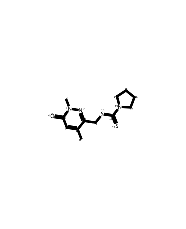 Cc1cc(=O)n(C)nc1CSC(=S)N1CCCC1